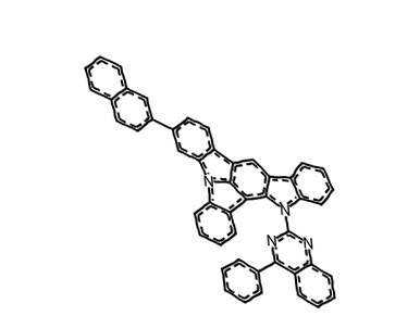 c1ccc(-c2nc(-n3c4ccccc4c4cc5c6ccc(-c7ccc8ccccc8c7)cc6n6c7ccccc7c(c43)c56)nc3ccccc23)cc1